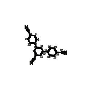 N#Cc1ccc(-c2cc(C#N)cc(-c3ccc(C#N)cc3)c2)cc1